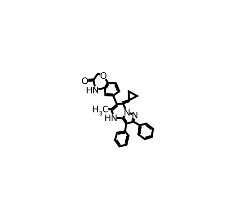 CC1=C(c2ccc3c(c2)NC(=O)CO3)C(=C2CC2)n2nc(-c3ccccc3)c(-c3ccccc3)c2N1